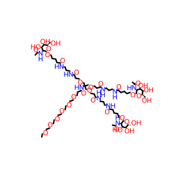 CCOCCOCCOCCOCCOCCOCCC(=O)NC(COCCC(=O)NCCCNC(=O)CCCCOC1O[C@H](CO)[C@H](O)[C@H](O)[C@H]1NC(C)=O)(COCCC(=O)NCCCNC(=O)CCCCO[C@@H]1O[C@H](CO)[C@H](O)[C@H](O)[C@H]1NC(C)=O)COCCC(=O)NCCCNC(=O)CCCCO[C@@H]1O[C@H](CO)[C@H](O)[C@H](O)[C@H]1NC(C)=O